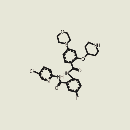 O=C(Nc1ccc(Cl)cn1)c1cc(F)ccc1NC(=O)c1ccc(N2CCOCC2)cc1OC1CCNCC1